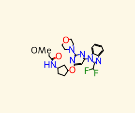 COCC(=O)N[C@H]1CC[C@H](Oc2cc(-n3c(C(F)F)nc4ccccc43)nc(N3CCOCC3)n2)C1